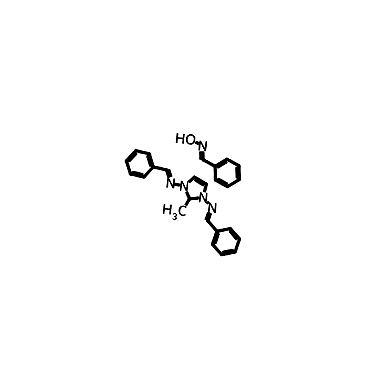 CC1N(N=Cc2ccccc2)C=CN1N=Cc1ccccc1.ON=Cc1ccccc1